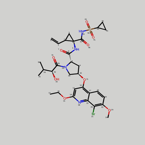 C=CC1C[C@]1(NC(=O)[C@@H]1C[C@@H](Oc2cc(OCC)nc3c(Br)c(OC)ccc23)CN1C(=O)[C@@H](O)C(C)C)C(=O)NS(=O)(=O)C1CC1